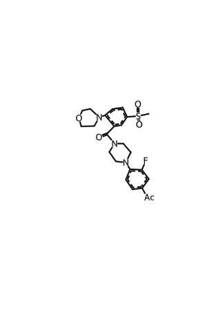 CC(=O)c1ccc(N2CCN(C(=O)c3cc(S(C)(=O)=O)ccc3N3CCOCC3)CC2)c(F)c1